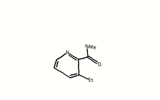 [CH2]Cc1cccnc1C(=O)NC